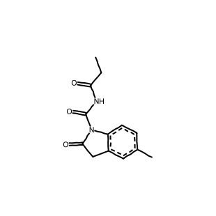 CCC(=O)NC(=O)N1C(=O)Cc2cc(C)ccc21